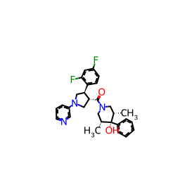 C[C@@H]1CN(C(=O)[C@@H]2CN(c3cccnc3)C[C@H]2c2ccc(F)cc2F)C[C@H](C)[C@@]1(O)c1ccccc1